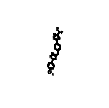 FC(F)c1nnc(-c2ccc(Cn3cc(-c4ccc(C(F)(F)F)cc4)nn3)cc2)o1